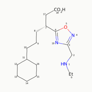 CCNCc1noc([C@H](CCCC2CCCCC2)CC(=O)O)n1